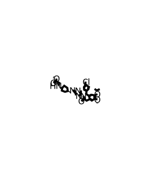 COC(=O)CN[C@H]1CC[C@@H](CN(C)c2cnc(N3C(=O)Cc4cc(OC)c(OC(C)C)cc4C3c3ccc(Cl)cc3)cn2)CC1